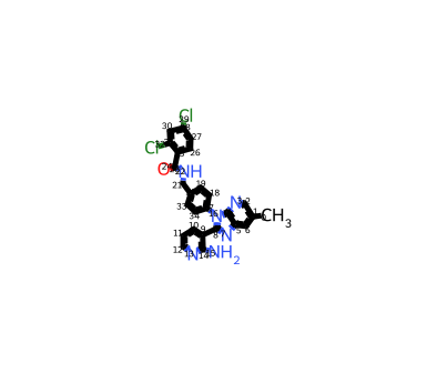 Cc1cnc2c(c1)nc(-c1cccnc1N)n2-c1ccc(CNC(=O)c2ccc(Cl)cc2Cl)cc1